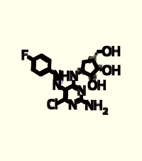 Nc1nc(Cl)c(/N=N/c2ccc(F)cc2)c(N[C@@H]2C[C@H](CO)[C@@H](O)[C@H]2O)n1